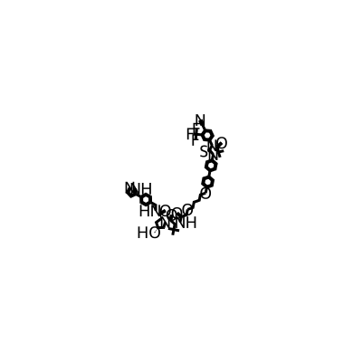 CC(C)(C)[C@H](NC(=O)COCCCCOc1ccc(-c2ccc(N3C(=S)N(c4ccc(C#N)c(C(F)(F)F)c4)C(=O)C3(C)C)cc2)cc1)C(=O)N1C[C@H](O)C[C@H]1C(=O)NCc1ccc(-c2ccn[nH]2)cc1